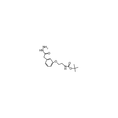 CC(C)(C)OC(=O)NCCOc1cccc(CC(=O)NN)c1